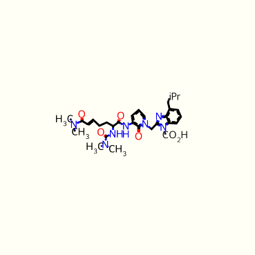 CC(C)Cc1cccc2c1nc(Cn1cccc(NC(=O)C(CCC=CC(=O)N(C)C)NC(=O)N(C)C)c1=O)n2C(=O)O